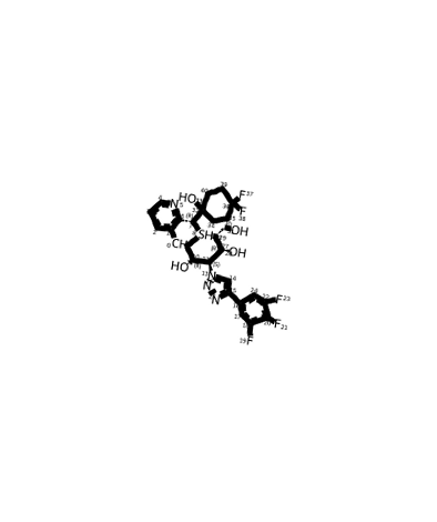 Cc1cccnc1[C@@H]([SH]1C[C@H](O)[C@H](n2cc(-c3cc(F)c(F)c(F)c3)nn2)[C@@H](O)[C@H]1CO)C1(O)CCC(F)(F)CC1